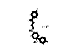 CO[C@]1(c2ccc(F)cc2)CC[C@H](NCCCC(=O)c2ccc(F)cc2)CC1.Cl